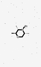 CC(C)N1[C@H](C)CO[C@@H](C)[C@@H]1C